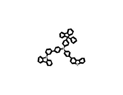 c1ccc(C2(c3ccc(N(c4ccc(-c5cccc(-n6c7ccccc7c7ccccc76)c5)cc4)c4ccc(-c5ccc6sc7ccccc7c6c5)cc4)cc3)c3ccccc3-c3ccccc32)cc1